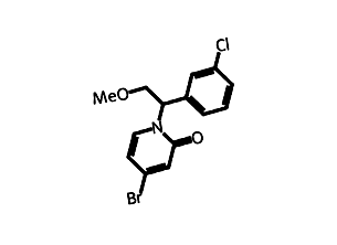 COCC(c1cccc(Cl)c1)n1ccc(Br)cc1=O